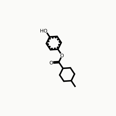 CC1CCC(C(=O)Oc2ccc(O)cc2)CC1